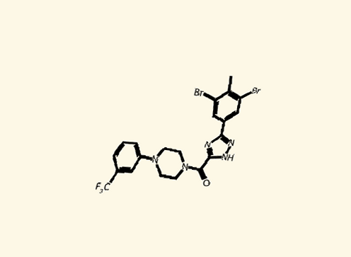 Cc1c(Br)cc(-c2n[nH]c(C(=O)N3CCN(c4cccc(C(F)(F)F)c4)CC3)n2)cc1Br